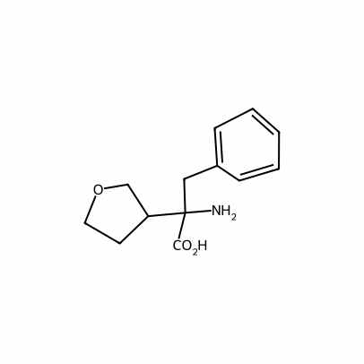 NC(Cc1ccccc1)(C(=O)O)C1CCOC1